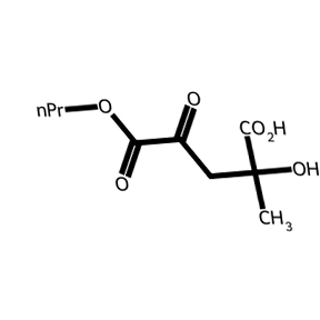 CCCOC(=O)C(=O)CC(C)(O)C(=O)O